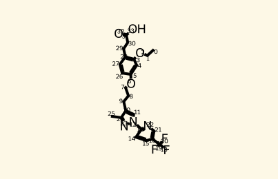 CCOc1cc(OCCCc2cn(-c3ccc(C(F)(F)F)cn3)nc2C)ccc1CCC(=O)O